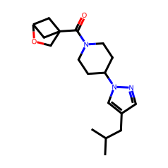 CC(C)Cc1cnn(C2CCN(C(=O)C34COC(C3)C4)CC2)c1